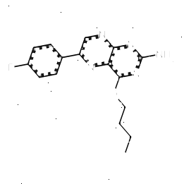 CCCCOc1nc(N)nc2ncc(-c3ccc(F)cc3)nc12